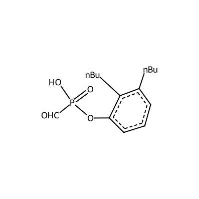 CCCCc1cccc(OP(=O)(O)C=O)c1CCCC